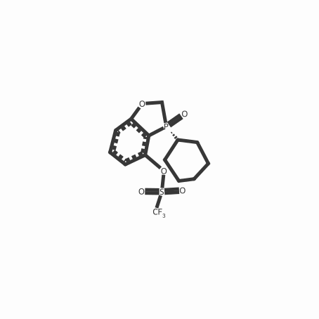 O=[P@]1(C2CCCCC2)COc2cccc(OS(=O)(=O)C(F)(F)F)c21